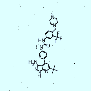 CN1CCN(Cc2ccc(NC(=O)Nc3ccc(-c4cc(C(C)(C)C)nc5[nH]nc(N)c45)cc3)cc2C(F)(F)F)CC1